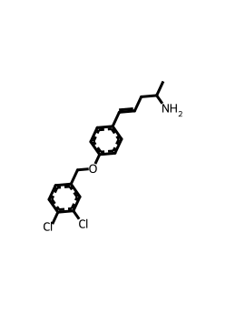 CC(N)CC=Cc1ccc(OCc2ccc(Cl)c(Cl)c2)cc1